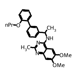 CCCOc1ccccc1-c1cccc(C(C)Nc2nc(C)nc3cc(OC)c(OC)cc23)c1